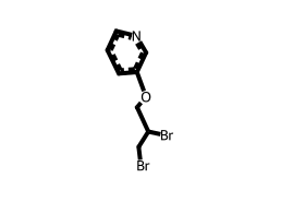 BrCC(Br)COc1cccnc1